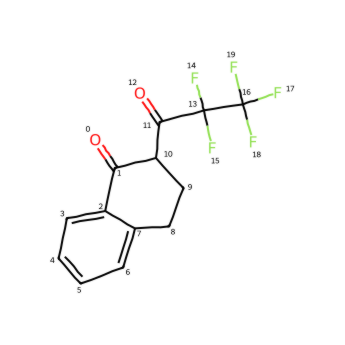 O=C1c2ccccc2CCC1C(=O)C(F)(F)C(F)(F)F